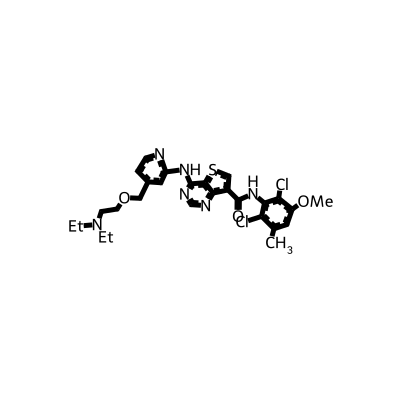 CCN(CC)CCOCc1ccnc(Nc2ncnc3c(C(=O)Nc4c(Cl)c(C)cc(OC)c4Cl)csc23)c1